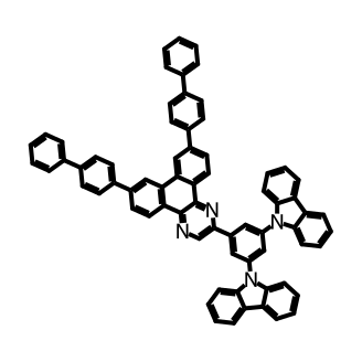 c1ccc(-c2ccc(-c3ccc4c(c3)c3cc(-c5ccc(-c6ccccc6)cc5)ccc3c3nc(-c5cc(-n6c7ccccc7c7ccccc76)cc(-n6c7ccccc7c7ccccc76)c5)cnc43)cc2)cc1